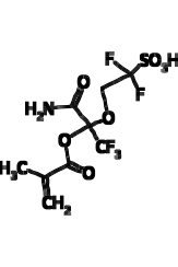 C=C(C)C(=O)OC(OCC(F)(F)S(=O)(=O)O)(C(N)=O)C(F)(F)F